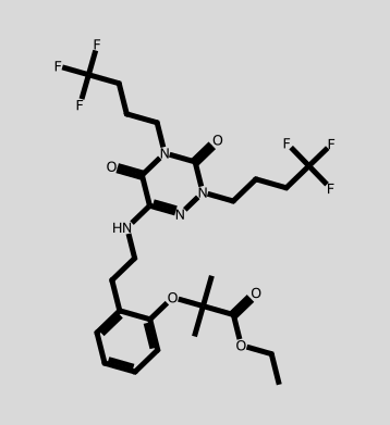 CCOC(=O)C(C)(C)Oc1ccccc1CCNc1nn(CCCC(F)(F)F)c(=O)n(CCCC(F)(F)F)c1=O